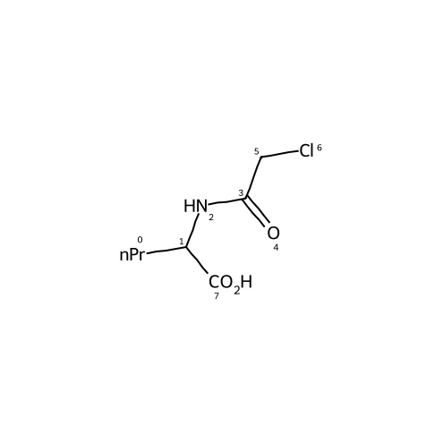 CCCC(NC(=O)CCl)C(=O)O